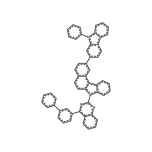 c1ccc(-c2cccc(-c3nc(-n4c5ccccc5c5c6cc(-c7ccc8c9ccccc9n(-c9ccccc9)c8c7)ccc6ccc54)nc4ccccc34)c2)cc1